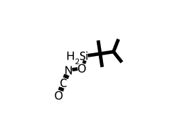 CC(C)C(C)(C)[SiH2]ON=C=O